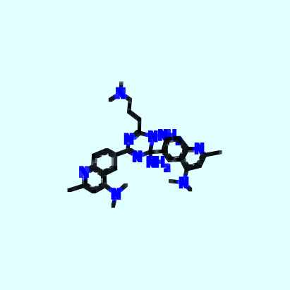 Cc1cc(N(C)C)c2cc(C3=NC(N)(c4ccc5nc(C)cc(N(C)C)c5c4)N(N)C(CCCN(C)C)=N3)ccc2n1